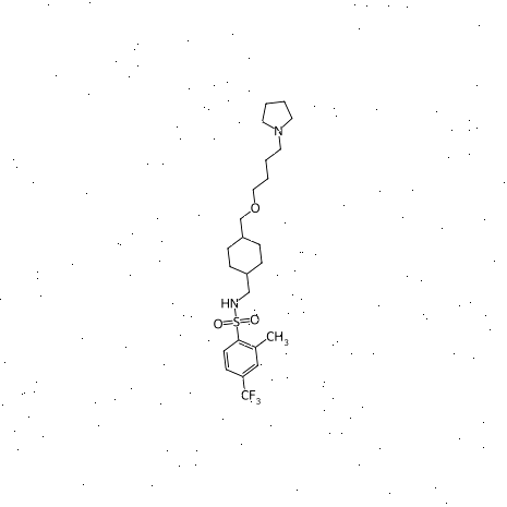 Cc1cc(C(F)(F)F)ccc1S(=O)(=O)NCC1CCC(COCCCCN2CCCC2)CC1